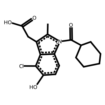 Cc1c(CC(=O)O)c2c(Cl)c(O)ccc2n1C(=O)C1CCCCC1